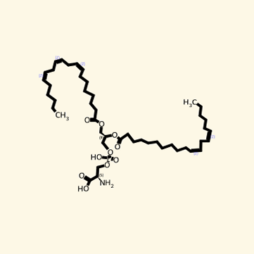 CCCCC/C=C\C/C=C\C/C=C\CCCCCCC(=O)OC[C@H](COP(=O)(O)OC[C@H](N)C(=O)O)OC(=O)CCCCCCCCC/C=C\C/C=C\CCCCC